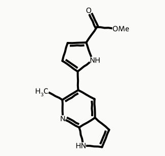 COC(=O)c1ccc(-c2cc3cc[nH]c3nc2C)[nH]1